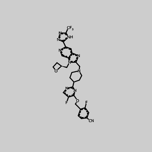 N#Cc1ccc(COc2nc(C3CCN(Cc4nc5cc(-c6nnc(C(F)(F)F)[nH]6)ncc5n4C[C@@H]4CCO4)CC3)ncc2F)c(F)c1